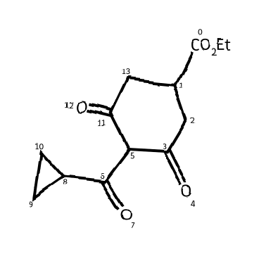 CCOC(=O)C1CC(=O)C(C(=O)C2CC2)C(=O)C1